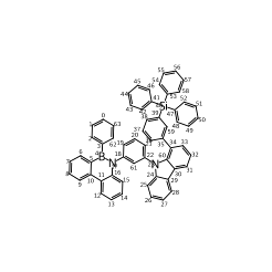 c1ccc(B2c3ccccc3-c3ccccc3N2c2cccc(-n3c4ccccc4c4cccc(-c5cccc([Si](c6ccccc6)(c6ccccc6)c6ccccc6)c5)c43)c2)cc1